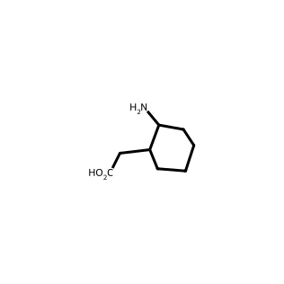 NC1CCCCC1CC(=O)O